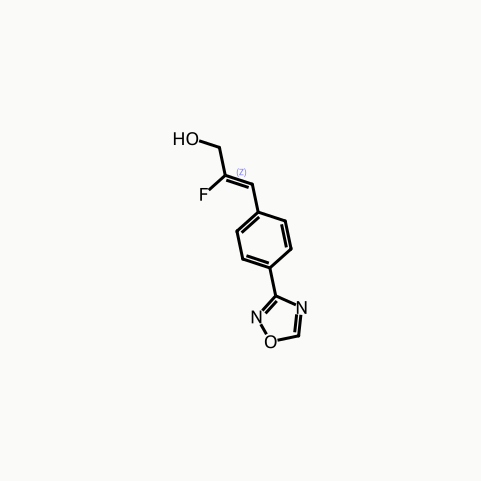 OC/C(F)=C/c1ccc(-c2ncon2)cc1